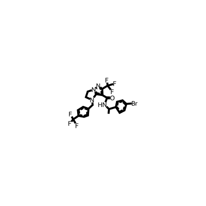 CC(NC(=O)c1c(C(F)(F)F)nn2c1N(Cc1ccc(C(F)(F)F)cc1)CC2)c1ccc(Br)cc1